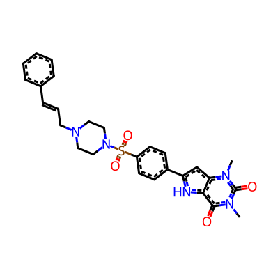 Cn1c(=O)c2[nH]c(-c3ccc(S(=O)(=O)N4CCN(C/C=C/c5ccccc5)CC4)cc3)cc2n(C)c1=O